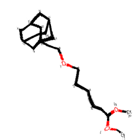 CCOC(CCCCOCC12CC3CC(CC(C3)C1)C2)OCC